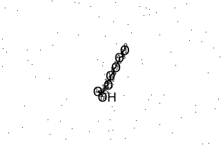 COCCOCCOCCOCCOCCC(=O)O